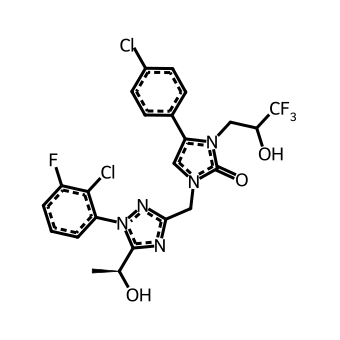 C[C@H](O)c1nc(Cn2cc(-c3ccc(Cl)cc3)n(CC(O)C(F)(F)F)c2=O)nn1-c1cccc(F)c1Cl